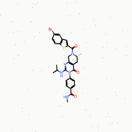 CNC(=O)c1ccc(-n2c(NC(C)C)nc3c(c2=O)C[C@@H](C)N(C(=O)c2cc4cc(Br)ccc4s2)C3)cc1